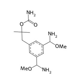 COC(N)c1cc(CC(C)(C)OC(N)=O)cc(C(N)OC)c1